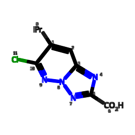 CC(C)c1cc2nc(C(=O)O)nn2nc1Cl